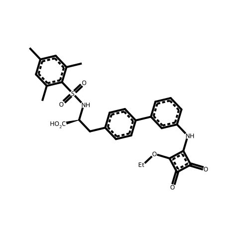 CCOc1c(Nc2cccc(-c3ccc(C[C@H](NS(=O)(=O)c4c(C)cc(C)cc4C)C(=O)O)cc3)c2)c(=O)c1=O